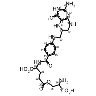 Nc1nc2c(c(=O)[nH]1)NC(CNc1ccc(C(=O)NC(CCC(=O)OCC(N)C(=O)O)C(=O)O)cc1)CN2